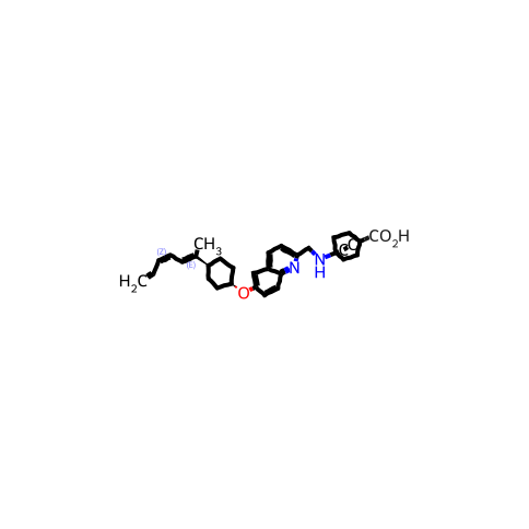 C=C/C=C\C=C(/C)[C@H]1CC[C@H](Oc2ccc3nc(CNC45CCC(C(=O)O)(CC4)CC5)ccc3c2)CC1